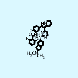 CN(C)C1Cc2ccc(Nc3nccc(-c4c(-c5ccc(F)c(NC(=O)c6c(F)cccc6F)c5)nn5ccccc45)n3)cc2C1